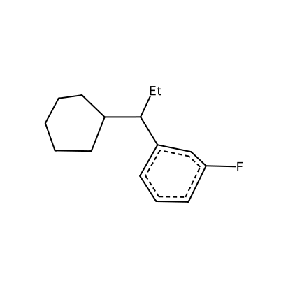 CCC(c1cccc(F)c1)C1CCCCC1